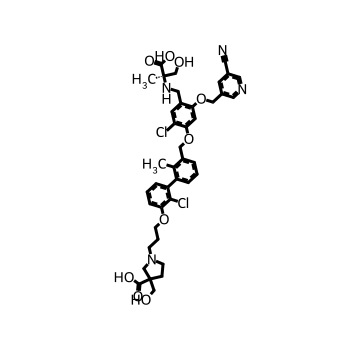 Cc1c(COc2cc(OCc3cncc(C#N)c3)c(CN[C@](C)(CO)C(=O)O)cc2Cl)cccc1-c1cccc(OCCCN2CCC(CO)(C(=O)O)C2)c1Cl